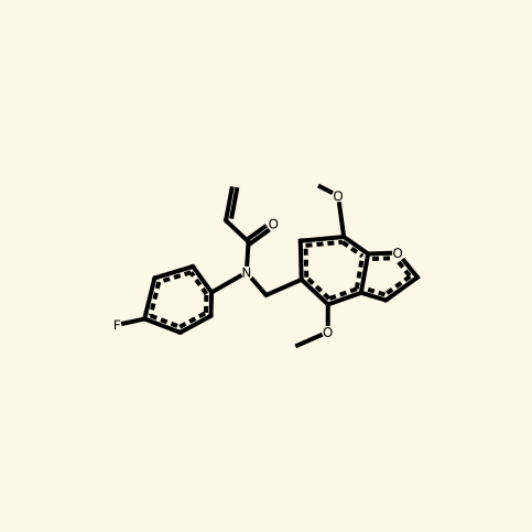 C=CC(=O)N(Cc1cc(OC)c2occc2c1OC)c1ccc(F)cc1